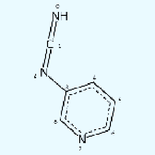 N=C=Nc1cccnc1